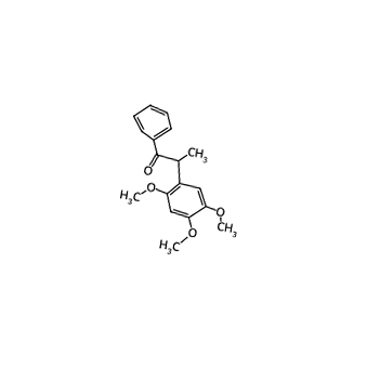 COc1cc(OC)c(C(C)C(=O)c2ccccc2)cc1OC